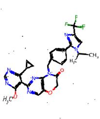 COc1ncnc(C2CC2)c1-c1ncc2c(n1)N(Cc1ccc(-c3nc(C(F)(F)F)cn3C(C)C)cc1)C(=O)CO2